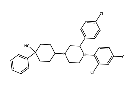 N#CC1(c2ccccc2)CCC(N2CCN(c3ccc(Cl)cc3Cl)C(c3ccc(Cl)cc3)C2)CC1